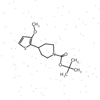 COc1ccsc1C1CCN(C(=O)OC(C)(C)C)CC1